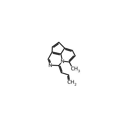 C=C/C=c1/ncc2ccc3ccc(C)n1c32